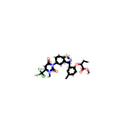 CCC(Oc1ccc(C)cc1-c1nsc2ccc(-n3c(=O)cc(C(F)(F)F)n(C)c3=O)cc12)C(=O)OC